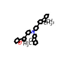 CC1(C)c2ccccc2-c2ccc(-c3ccc(N(c4cccc(-c5ccc6oc7ccccc7c6c5)c4)c4ccc5c(c4)C(C)(C)c4ccccc4-5)cc3)cc21